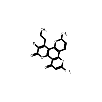 CCCc1c(F)c(=O)oc2c1c1c(c3oc(C)cc(=O)c32)[C]=CC(C)O1